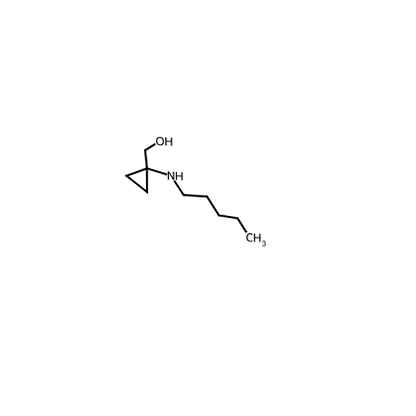 CCCCCNC1(CO)CC1